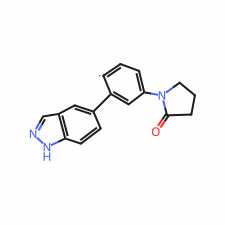 O=C1CCCN1c1cc[c]c(-c2ccc3[nH]ncc3c2)c1